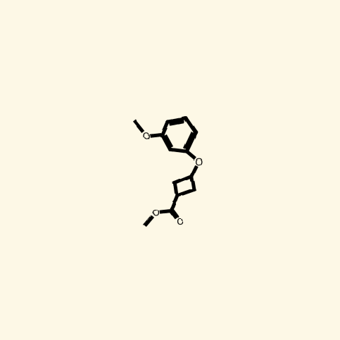 COC(=O)C1CC(Oc2cccc(OC)c2)C1